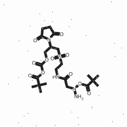 CC(C)(C)C(=O)OC(=O)OCC(CS(=O)(=O)CCNC(=O)CN(N)OC(=O)C(C)(C)C)N1C(=O)CCC1=O